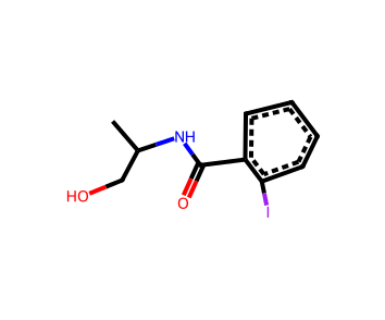 CC(CO)NC(=O)c1ccccc1I